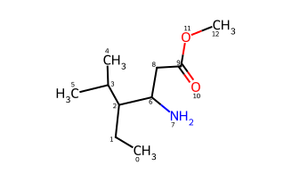 CCC(C(C)C)C(N)CC(=O)OC